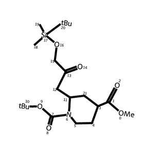 COC(=O)C1CCN(C(=O)OC(C)(C)C)C(CC(=O)CO[Si](C)(C)C(C)(C)C)C1